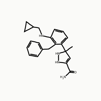 CC1(c2cccc(NCC3CC3)c2Cc2ccccc2)C=C(C(N)=O)NN1